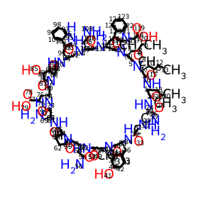 CCCC[C@H]1C(=O)N(C)[C@@H](CCCC)C(=O)NC(CC(C)C)C(=O)N[C@H](C(N)=O)CNCC(=O)N[C@@H](Cc2ccc(O)cc2)C(=O)N(C)[C@@H](C)C(=O)N[C@@H](CC(N)=O)C(=O)N2CCC[C@H]2C(=O)N[C@@H](CN)C(=O)N[C@@H](CCC(=O)O)C(=O)N2C[C@H](O)C[C@H]2C(=O)N[C@@H](Cc2c[nH]c3ccccc23)C(=O)N[C@@H](CCN)C(=O)N[C@@H](Cc2cn(CC(=O)O)c3ccccc23)C(=O)N1C